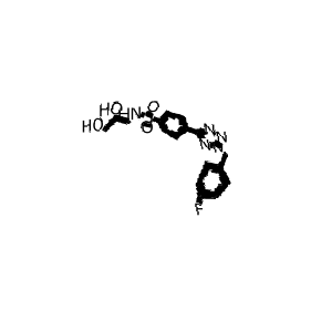 O=S(=O)(NCC(O)CO)c1ccc(-c2nnn(Cc3ccc(F)cc3)n2)cc1